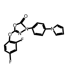 O=c1oc(Oc2ccc(F)cc2F)nn1-c1ccc(-n2cccc2)cc1